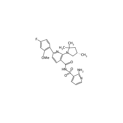 COc1cc(F)ccc1-c1ccc(C(=O)NS(=O)(=O)c2cccnc2N)c(N2C[C@@H](C)CC2(C)C)n1